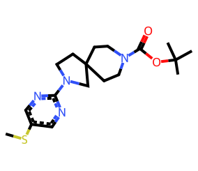 CSc1cnc(N2CCC3(CCN(C(=O)OC(C)(C)C)CC3)C2)nc1